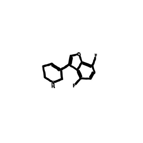 Fc1ccc(F)c2c(C3=CCCNC3)coc12